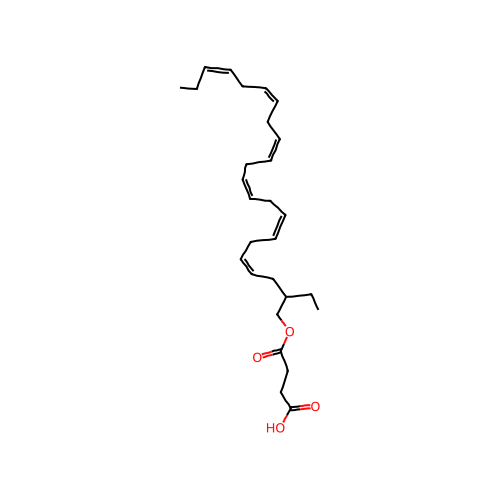 CC/C=C\C/C=C\C/C=C\C/C=C\C/C=C\C/C=C\CC(CC)COC(=O)CCC(=O)O